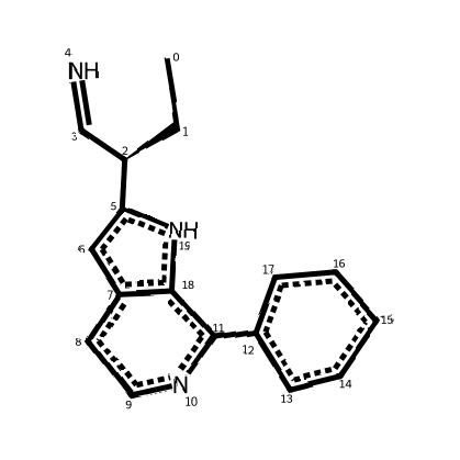 CC[C@H](C=N)c1cc2ccnc(-c3ccccc3)c2[nH]1